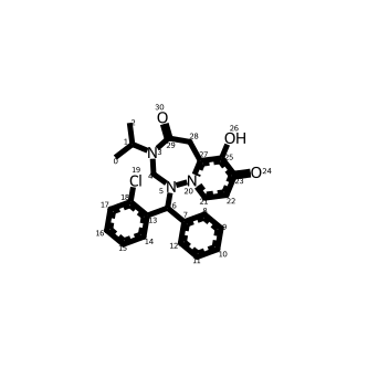 CC(C)N1CN(C(c2ccccc2)c2ccccc2Cl)n2ccc(=O)c(O)c2CC1=O